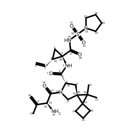 C=C[C@@H]1C[C@]1(NC(=O)[C@@H]1C[C@@]2(CN1C(=O)[C@@H](N)C(=C)C)C(C)(C)C21CCC1)C(=O)NS(=O)(=O)N1CCCC1